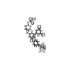 O=C(O)CC1CCN(Cc2cc(Oc3cnc(N4CCN5CCC4C5)cn3)nc(-c3cc(Cl)cc(Cl)c3)c2)CC1